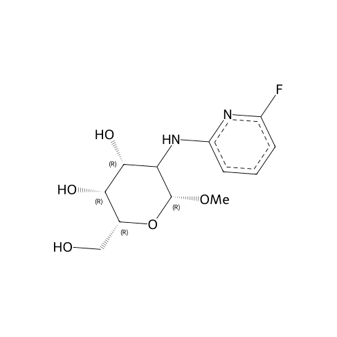 CO[C@@H]1O[C@H](CO)[C@H](O)[C@H](O)C1Nc1cccc(F)n1